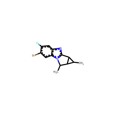 CC1C2c3nc4cc(F)c(Br)cc4n3C(C)C12